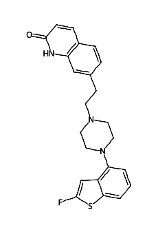 O=c1ccc2ccc(CCN3CCN(c4cccc5sc(F)cc45)CC3)cc2[nH]1